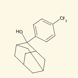 OC1(c2ccc(C(F)(F)F)cc2)C2CC3CC(C2)CC1C3